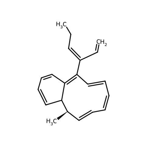 C=CC(=C\CC)/C1=C2\C=CC=CC2[C@H](C)/C=C/C=C\C=C\1